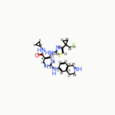 O=C(NC1CC1)c1cnc(Nc2ccc3c(c2)CCNC3)nc1Nc1nc(C2(CF)CC2)cs1